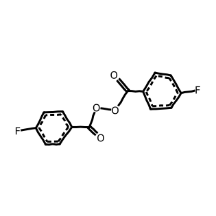 O=C(OOC(=O)c1ccc(F)cc1)c1ccc(F)cc1